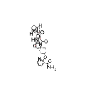 NC(=O)c1cccnc1O[C@H]1CC[C@H](N2C(=O)NC(C[C@@H]3C[C@H]4CC[C@@H](C3)N4C(=O)OCc3ccccc3)C2=O)CC1